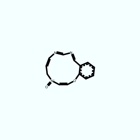 O=[N+]1/C=C\Oc2ccccc2/C=N/C=N/C=C\C1